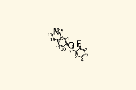 Fc1ccccc1COc1ccc2c(c1)C=NCC2